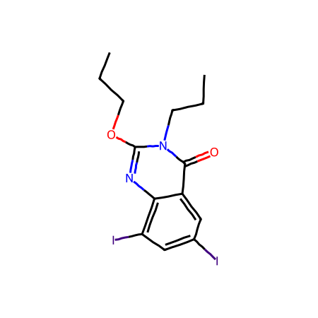 CCCOc1nc2c(I)cc(I)cc2c(=O)n1CCC